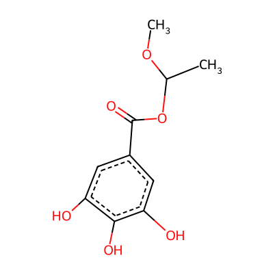 COC(C)OC(=O)c1cc(O)c(O)c(O)c1